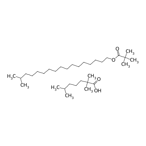 CC(C)CCCC(C)(C)C(=O)O.CC(C)CCCCCCCCCCCCCCCOC(=O)C(C)(C)C